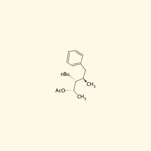 CCCC[C@H]([C@H](C)Cc1ccccc1)[C@H](C)OC(C)=O